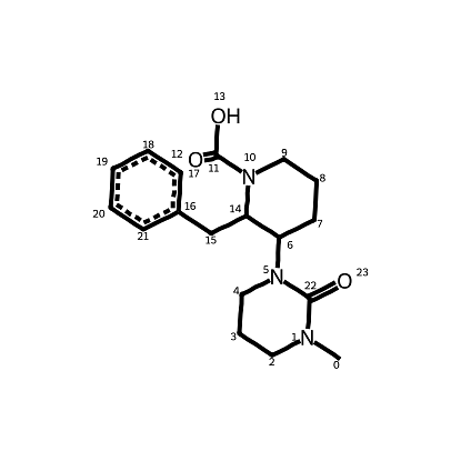 CN1CCCN(C2CCCN(C(=O)O)C2Cc2ccccc2)C1=O